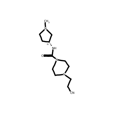 CN1CC[C@@H](NC(=O)N2CCN(CCC#N)CC2)C1